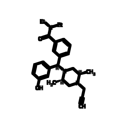 C#CCN1C[C@H](C)N([C@@H](c2cccc(O)c2)c2cccc(C(=O)N(CC)CC)c2)C[C@H]1C